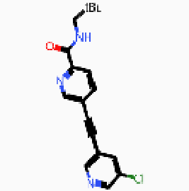 CC(C)(C)CNC(=O)c1ccc(C#Cc2cncc(Cl)c2)cn1